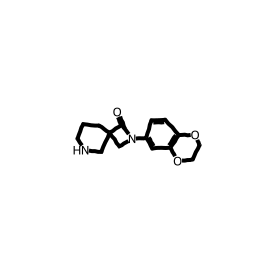 O=C1N(c2ccc3c(c2)OCCO3)CC12CCCNC2